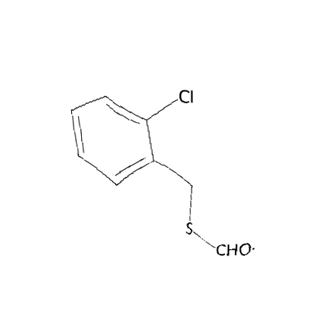 O=[C]SCc1ccccc1Cl